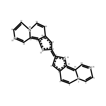 C1=CN2C=Cc3cc(=c4cc5c(s4)=C4C=NC=CN4C=C5)sc3=C2C=N1